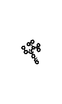 c1ccc(-c2cccc(-c3cc(-c4ccc(-c5cc6ccccc6s5)cc4)nc(-c4cc(-n5c6ccccc6c6ccccc65)cc(-n5c6ccccc6c6ccccc65)c4)n3)c2)cc1